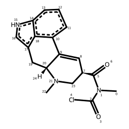 CN(C(=O)Cl)C(=O)[C@@H]1C=C2c3cccc4[nH]cc(c34)C[C@H]2N(C)C1